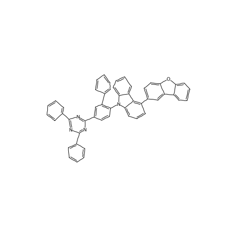 c1ccc(-c2nc(-c3ccccc3)nc(-c3ccc(-n4c5ccccc5c5c(-c6ccc7oc8ccccc8c7c6)cccc54)c(-c4ccccc4)c3)n2)cc1